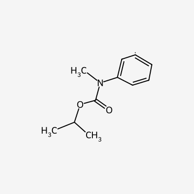 CC(C)OC(=O)N(C)c1c[c]ccc1